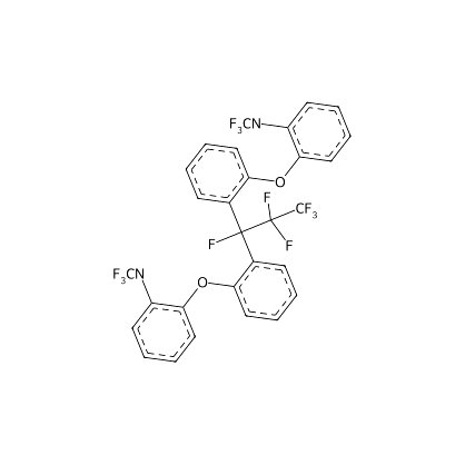 FC(F)(F)Nc1ccccc1Oc1ccccc1C(F)(c1ccccc1Oc1ccccc1NC(F)(F)F)C(F)(F)C(F)(F)F